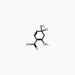 NC1=C(C(=O)O)C=CC(N)(Cl)C1